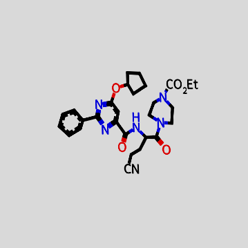 CCOC(=O)N1CCN(C(=O)C(CCC#N)NC(=O)c2cc(OC3CCCC3)nc(-c3ccccc3)n2)CC1